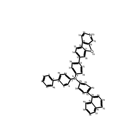 c1ccc(-c2ccc(N(c3ccc(-c4ccc5c(c4)oc4cnccc45)cc3)c3ccc(-c4cccc5ccccc45)cc3)cc2)cc1